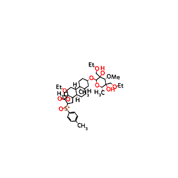 CCOCO[C@]12CC([S+]([O-])c3ccc(C)cc3)C(=O)[C@@]1(C)CC[C@H]1[C@H]2CC[C@@H]2C[C@@H](O[C@@H]3O[C@@H](C)[C@@](O)(COCC)[C@@H](OC)[C@@]3(O)COCC)CC[C@@]21C